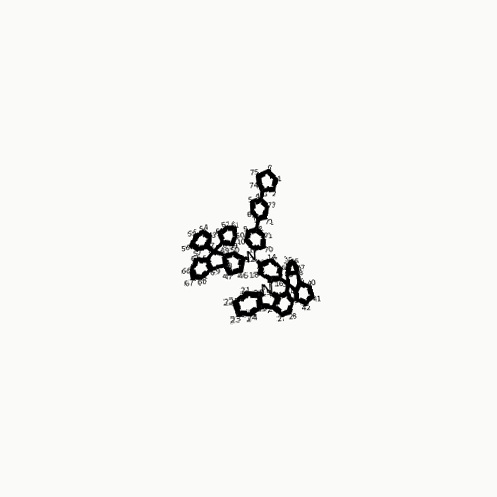 c1ccc(-c2ccc(-c3ccc(N(c4ccc5c(c4)-n4c6ccccc6c6cccc(c64)C54c5ccccc5-c5ccccc54)c4ccc5c(c4)C(c4ccccc4)(c4ccccc4)c4ccccc4-5)cc3)cc2)cc1